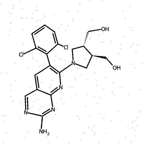 Nc1ncc2cc(-c3c(Cl)cccc3Cl)c(N3C[C@H](CO)[C@@H](CO)C3)nc2n1